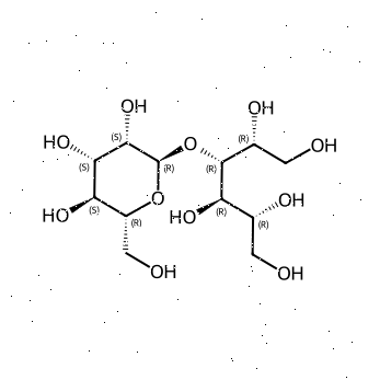 OC[C@@H](O)[C@@H](O)[C@H](O[C@H]1O[C@H](CO)[C@@H](O)[C@H](O)[C@@H]1O)[C@H](O)CO